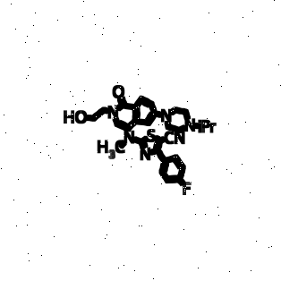 CC(C)N1CCN(c2ccc3c(=O)n(CCO)cc(N(C)c4nc(-c5ccc(F)cc5)c(C#N)s4)c3c2)CC1